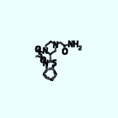 CS(=O)(=O)N1CCN(CC(N)=O)CC1c1nc2ccccc2s1